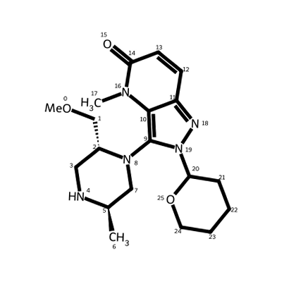 COC[C@H]1CN[C@H](C)CN1c1c2c(ccc(=O)n2C)nn1C1CCCCO1